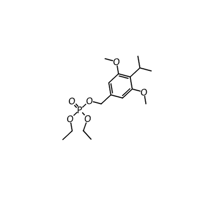 CCOP(=O)(OCC)OCc1cc(OC)c(C(C)C)c(OC)c1